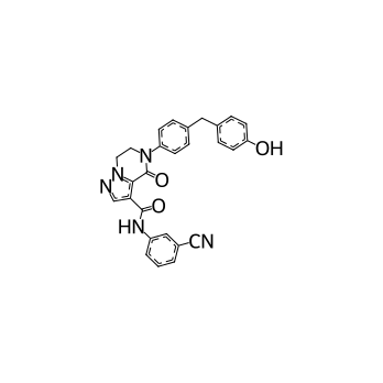 N#Cc1cccc(NC(=O)c2cnn3c2C(=O)N(c2ccc(Cc4ccc(O)cc4)cc2)CC3)c1